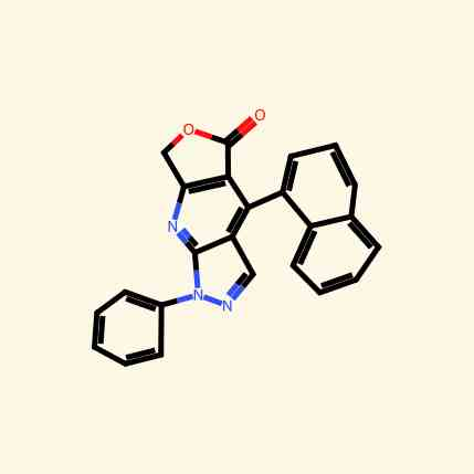 O=C1OCc2nc3c(cnn3-c3ccccc3)c(-c3cccc4ccccc34)c21